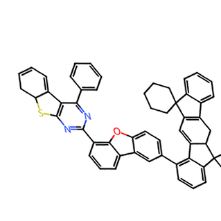 CC1(C)c2cccc(-c3ccc4oc5c(-c6nc7c(c(-c8ccccc8)n6)C6=CC=CCC6S7)cccc5c4c3)c2C2=CC3=C(CC21)c1ccccc1C31CCCCC1